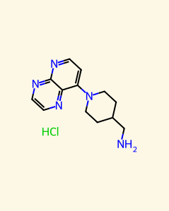 Cl.NCC1CCN(c2ccnc3nccnc23)CC1